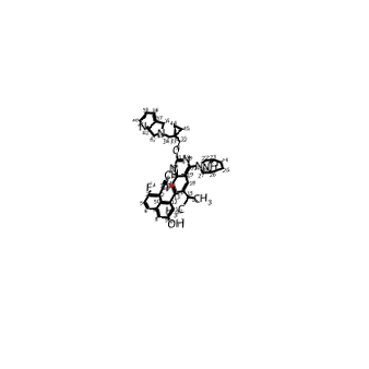 C#Cc1c(F)ccc2cc(O)cc(-c3c(C(C)C)cc4c(N5CC6CCC(C5)N6)nc(OCC5(CN6Cc7cccnc7C6)CC5)nc4c3F)c12